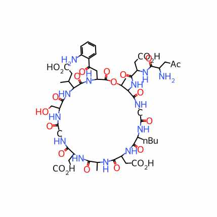 CCCCC1NC(=O)CNC(=O)C(NC(=O)C(CC(=O)O)NC(=O)C(N)CC(C)=O)C(C)OC(=O)C(CC(=O)c2ccccc2N)NC(=O)C(C(C)CC(=O)O)NC(=O)C(CO)NC(=O)CNC(=O)C(CC(=O)O)NC(=O)C(C)NC(=O)C(CC(=O)O)NC1=O